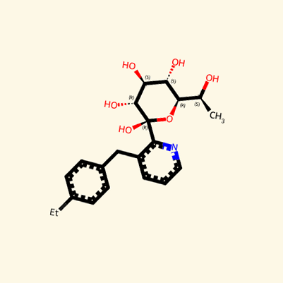 CCc1ccc(Cc2cccnc2[C@@]2(O)O[C@H]([C@H](C)O)[C@@H](O)[C@H](O)[C@H]2O)cc1